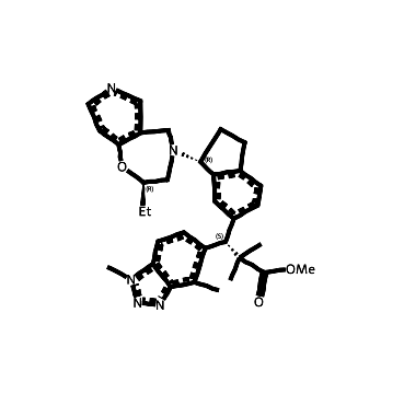 CC[C@@H]1CN([C@@H]2CCc3ccc([C@@H](c4ccc5c(nnn5C)c4C)C(C)(C)C(=O)OC)cc32)Cc2cnccc2O1